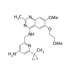 COCCOc1cc2c(NCc3cc(N)cc(C4(C)CC4)n3)nc(C)nc2cc1OC